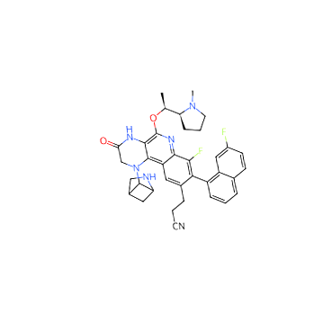 C[C@H](Oc1nc2c(F)c(-c3cccc4ccc(F)cc34)c(CCC#N)cc2c2c1NC(=O)CN2C1C2CNC1C2)[C@@H]1CCCN1C